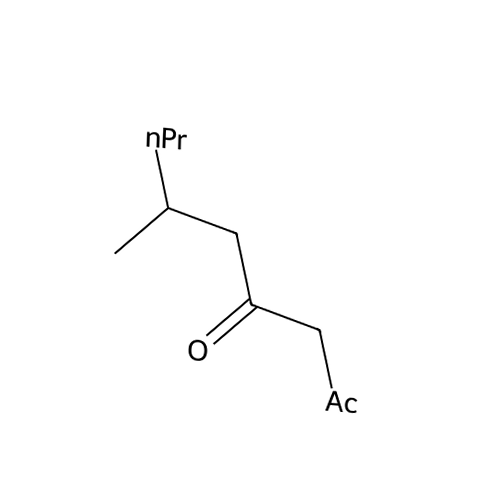 CCCC(C)CC(=O)CC(C)=O